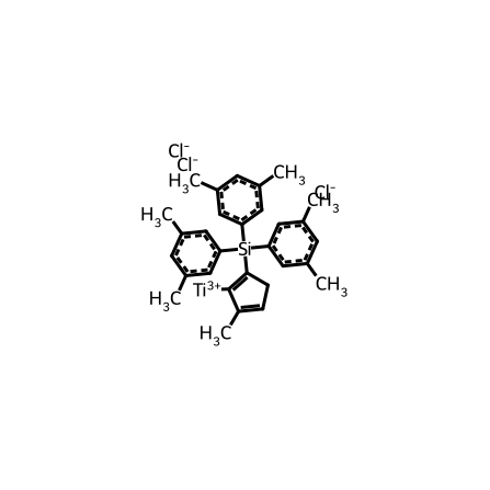 CC1=CCC([Si](c2cc(C)cc(C)c2)(c2cc(C)cc(C)c2)c2cc(C)cc(C)c2)=[C]1[Ti+3].[Cl-].[Cl-].[Cl-]